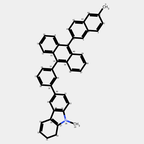 Cc1ccc2cc(-c3c4ccccc4c(-c4cccc(-c5ccc6c(c5)c5c(n6C)CCC=C5)c4)c4ccccc34)ccc2c1